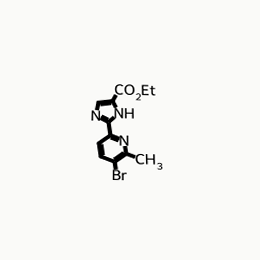 CCOC(=O)c1cnc(-c2ccc(Br)c(C)n2)[nH]1